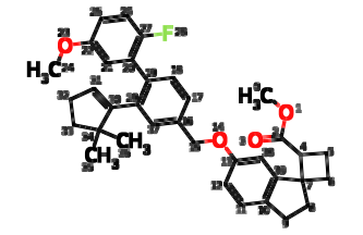 COC(=O)C1CCC12CCc1ccc(OCc3ccc(-c4cc(OC)ccc4F)c(C4=CCCC4(C)C)c3)cc12